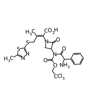 CC(CSc1nnc(C)s1)=C(C(=O)O)N1CC(N(C(=O)OCC(Cl)(Cl)Cl)C(=O)C(N)c2ccccc2)C1=O